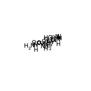 CC(Sc1nnn[nH]1)C1=C(C(=O)O)N2C(=O)C(NC(=O)C(N)c3cccc(NC(N)=O)c3)[C@@H]2SC1